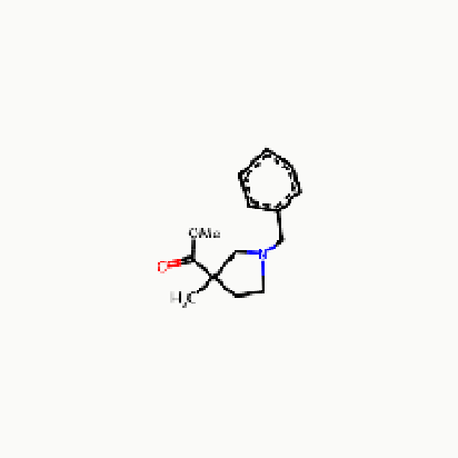 COC(=O)C1(C)CCN(Cc2ccccc2)C1